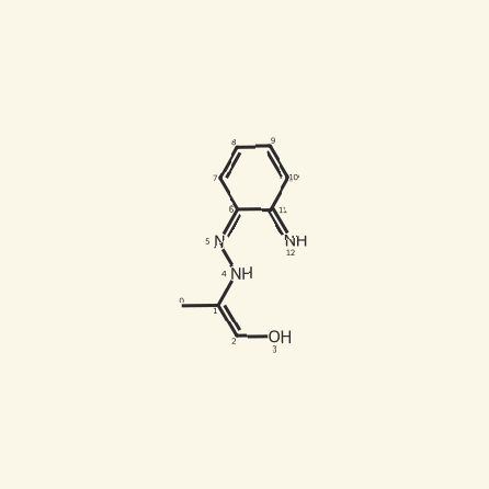 C/C(=C/O)N/N=C1/C=CC=CC1=N